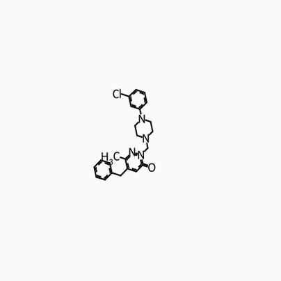 Cc1nn(CN2CCN(c3cccc(Cl)c3)CC2)c(=O)cc1Cc1ccccc1